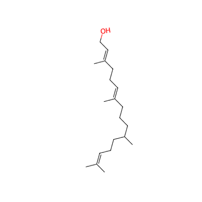 CC(C)=CCCC(C)CCC/C(C)=C/CC/C(C)=C/CO